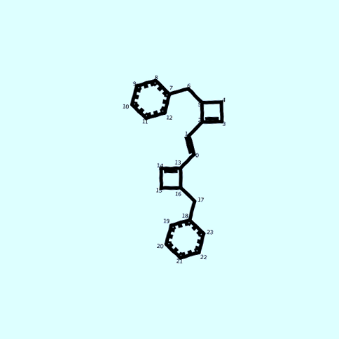 C(=CC1=CCC1Cc1ccccc1)C1=CCC1Cc1ccccc1